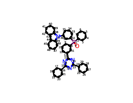 O=P(c1ccccc1)(c1cccc(-c2nc(-c3ccccc3)nc(-c3ccccc3)n2)c1)c1cccc(-n2c3ccccc3c3ccccc32)c1